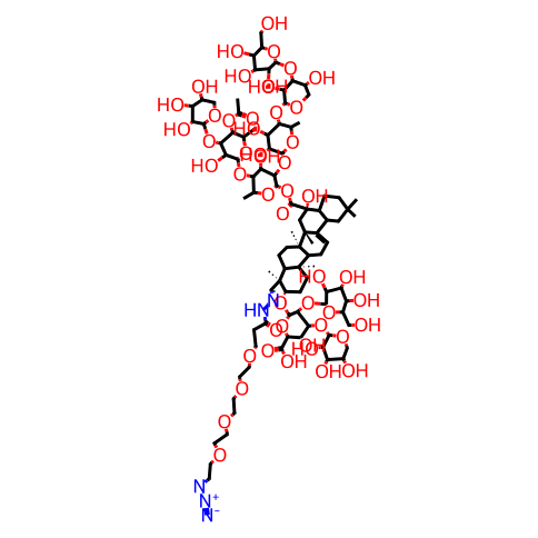 CC(=O)OC1C(C)OC(OC2C(C)OC(OC(=O)[C@@]3(O)C[C@]4(C)C(=CCC5[C@@]6(C)CC[C@H](OC7OC(C(=O)O)C(O)C(OC8OCC(O)C(O)C8O)C7OC7OC(CO)C(O)C(O)C7O)[C@@](C)(/C=N/NC(=O)CCOCCOCCOCCOCCN=[N+]=[N-])C6CC[C@]54C)C4CC(C)(C)CCC43)C(OC3OC(C)C(OC4OCC(O)C(OC5OC(CO)C(O)C(O)C5O)C4O)C(O)C3O)C2O)C(O)C1OC1OCC(O)C(O)C1O